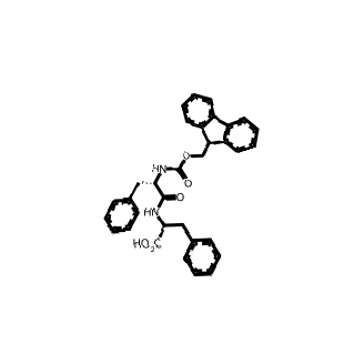 O=C(N[C@@H](Cc1ccccc1)C(=O)N[C@@H](Cc1ccccc1)C(=O)O)OCC1c2ccccc2-c2ccccc21